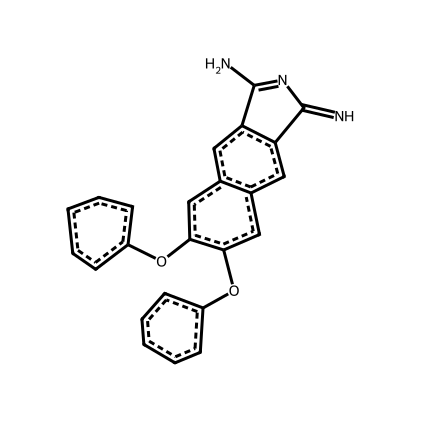 N=C1N=C(N)c2cc3cc(Oc4ccccc4)c(Oc4ccccc4)cc3cc21